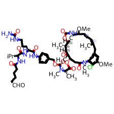 COc1cc2cc(c1Cl)N(C)C(=O)C[C@H](OC(=O)[C@H](C)N(C)C(=O)OCc1ccc(NC(=O)[C@H](CCCNC(N)=O)NC(=O)C(NC(=O)CCCCC=O)C(C)C)cc1)[C@]1(C)O[C@H]1[C@H](C)[C@@H]1CC(NC(=O)O1)C(OC)/C=C/C=C(\C)C2